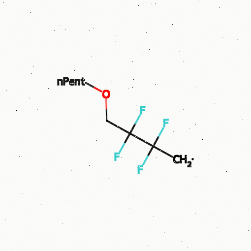 [CH2]C(F)(F)C(F)(F)COCCCCC